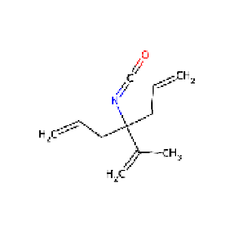 C=CCC(CC=C)(N=C=O)C(=C)C